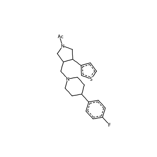 CC(=O)N1CC(CN2CCC(c3ccc(F)cc3)CC2)C(c2ccsc2)C1